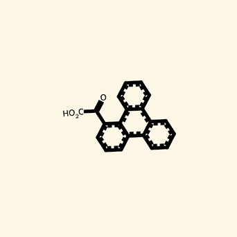 O=C(O)C(=O)c1cccc2c3ccccc3c3ccccc3c12